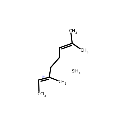 CC(C)=CCC/C(C)=C/C(Cl)(Cl)Cl.[SiH4]